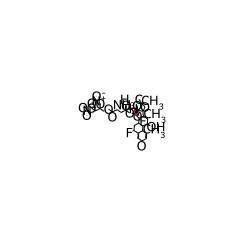 CC1(C)O[C@@H]2CC3C4C[C@H](F)C5=CC(=O)C=C[C@]5(C)[C@@]4(F)[C@@H](O)C[C@]3(C)[C@]2(C(=O)COC(=O)CC(N)C(=O)OCC(CO[N+](=O)[O-])O[N+](=O)[O-])O1